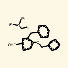 CC(C)N(CC[C@H](c1ccccc1)c1cc(C=O)ccc1OCc1ccccc1)C(C)C